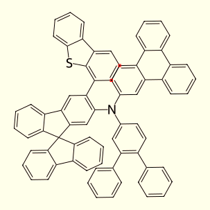 c1ccc(-c2ccc(N(c3ccc4c5ccccc5c5ccccc5c4c3)c3cc4c(cc3-c3cccc5c3sc3ccccc35)-c3ccccc3C43c4ccccc4-c4ccccc43)cc2-c2ccccc2)cc1